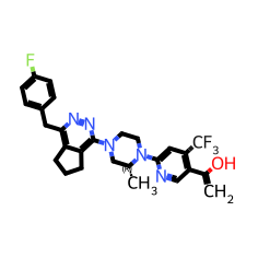 C=C(O)c1cnc(N2CCN(c3nnc(Cc4ccc(F)cc4)c4c3CCC4)C[C@H]2C)cc1C(F)(F)F